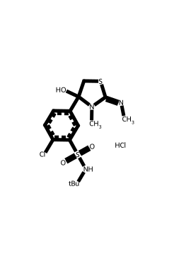 CN=C1SCC(O)(c2ccc(Cl)c(S(=O)(=O)NC(C)(C)C)c2)N1C.Cl